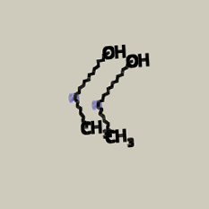 CCCCCCCC/C=C\CCCCCCCCCCCCO.CCCCCCCC/C=C\CCCCCCCCCCCCO